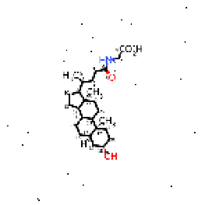 CC(CCC(=O)NCC(=O)O)C1CCC2C3CC[C@@H]4C[C@H](O)CC[C@]4(C)C3CC[C@]12C